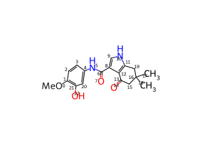 COc1ccc(NC(=O)c2c[nH]c3c2C(=O)CC(C)(C)C3)cc1O